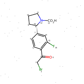 O=C(CBr)c1ccc([C@@H]2CCCN2C(=O)O)cc1F